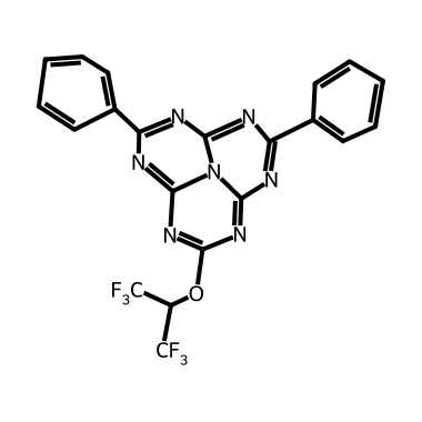 FC(F)(F)C(OC1=NC2=NC(c3ccccc3)=NC3=NC(c4ccccc4)=NC(=N1)N23)C(F)(F)F